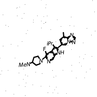 CNC1CCN(c2ncc3[nH]c(-c4cc(C)c5ncnn5c4)c(C(C)C)c3c2F)CC1